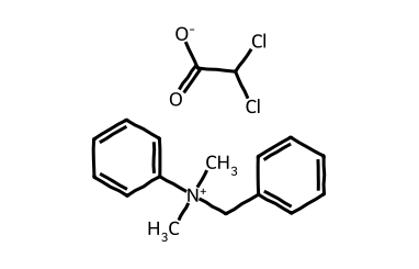 C[N+](C)(Cc1ccccc1)c1ccccc1.O=C([O-])C(Cl)Cl